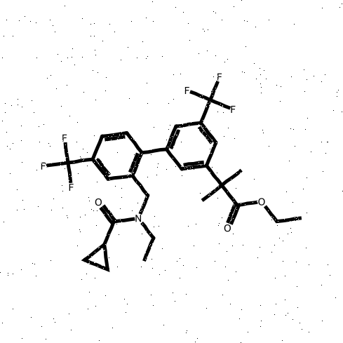 CCOC(=O)C(C)(C)c1cc(-c2ccc(C(F)(F)F)cc2CN(CC)C(=O)C2CC2)cc(C(F)(F)F)c1